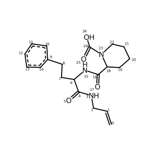 C=CCNC(=O)C(CCc1ccccc1)NC(=O)C1CCCCN1C(=O)O